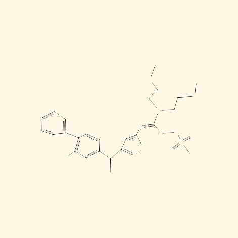 COCCN(CCOC)C(=Nc1cc(C(C)c2ccc(-c3ccccc3)c(F)c2)no1)NOS(C)(=O)=O